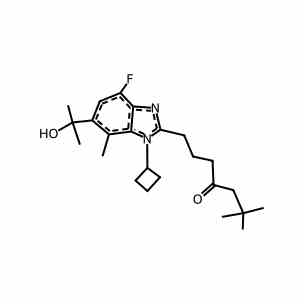 Cc1c(C(C)(C)O)cc(F)c2nc(CCCC(=O)CC(C)(C)C)n(C3CCC3)c12